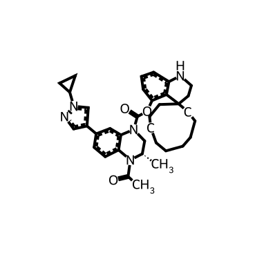 CC(=O)N1c2ccc(-c3cnn(C4CC4)c3)cc2N(C(=O)Oc2cccc3c2C2(CCCCCCCCC2)CCN3)C[C@@H]1C